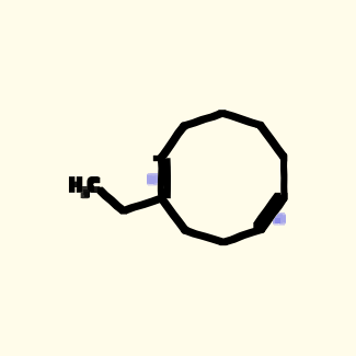 CC/C1=[C]/CCCC/C=C\CC1